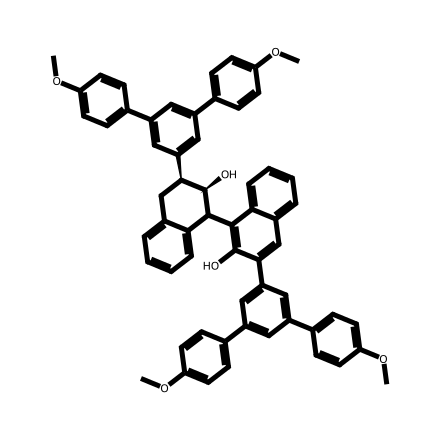 COc1ccc(-c2cc(-c3ccc(OC)cc3)cc(-c3cc4ccccc4c(C4c5ccccc5C[C@@H](c5cc(-c6ccc(OC)cc6)cc(-c6ccc(OC)cc6)c5)[C@H]4O)c3O)c2)cc1